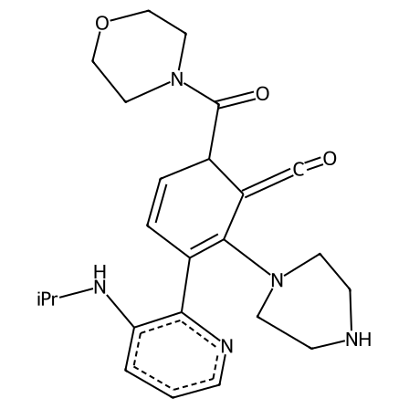 CC(C)Nc1cccnc1C1=C(N2CCNCC2)C(=C=O)C(C(=O)N2CCOCC2)C=C1